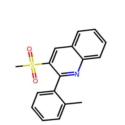 Cc1ccccc1-c1nc2ccccc2cc1S(C)(=O)=O